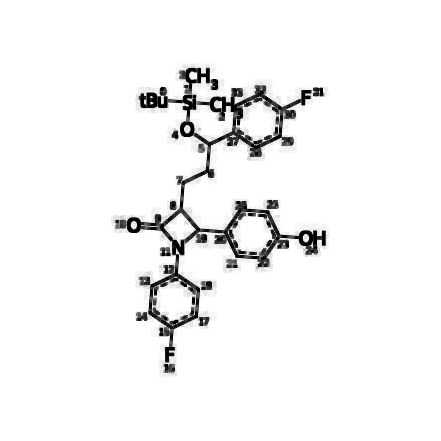 CC(C)(C)[Si](C)(C)OC(CCC1C(=O)N(c2ccc(F)cc2)C1c1ccc(O)cc1)c1ccc(F)cc1